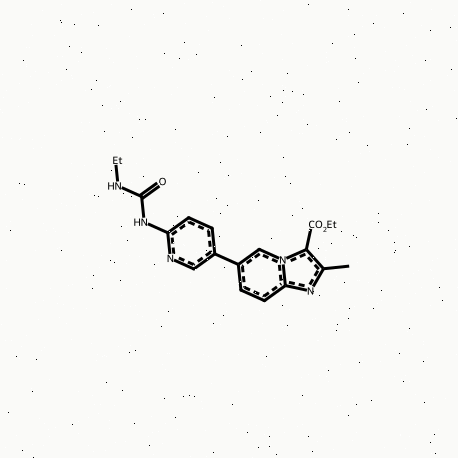 CCNC(=O)Nc1ccc(-c2ccc3nc(C)c(C(=O)OCC)n3c2)cn1